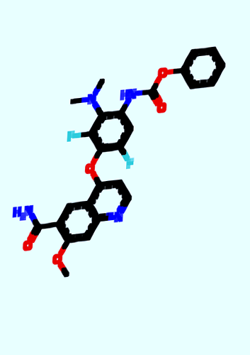 COc1cc2nccc(Oc3c(F)cc(NC(=O)Oc4ccccc4)c(N(C)C)c3F)c2cc1C(N)=O